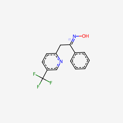 O/N=C(/Cc1ccc(C(F)(F)F)cn1)c1ccccc1